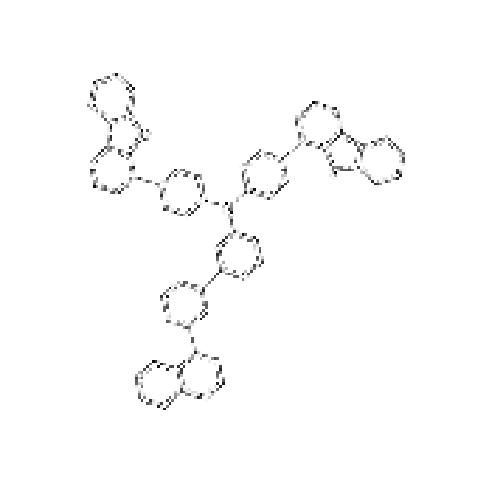 c1cc(-c2cccc(N(c3ccc(-c4cccc5c4oc4ccccc45)cc3)c3ccc(-c4cccc5c4sc4ccccc45)cc3)c2)cc(-c2cccc3ccccc23)c1